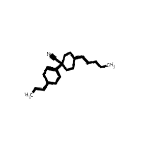 CCCCCC1CCC(C#N)(C2=CCC(CCC)CC2)CC1